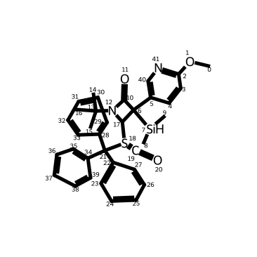 COc1ccc(C2([SiH](C)C)C(=O)N(C(C)(C)C)C2S(=C=O)C(c2ccccc2)(c2ccccc2)c2ccccc2)cn1